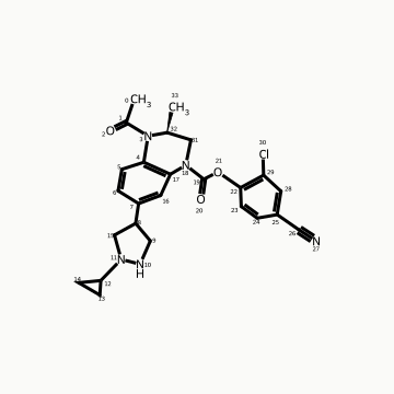 CC(=O)N1c2ccc(C3CNN(C4CC4)C3)cc2N(C(=O)Oc2ccc(C#N)cc2Cl)C[C@@H]1C